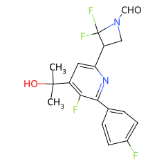 CC(C)(O)c1cc(C2CN(C=O)C2(F)F)nc(-c2ccc(F)cc2)c1F